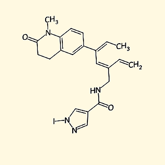 C=C/C(=C\C(=C/C)c1ccc2c(c1)CCC(=O)N2C)CNC(=O)c1cnn(I)c1